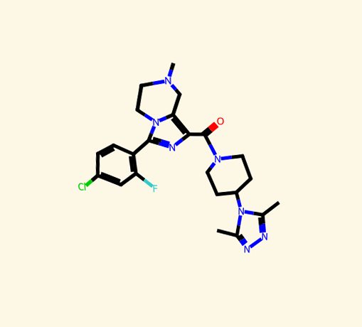 Cc1nnc(C)n1C1CCN(C(=O)c2nc(-c3ccc(Cl)cc3F)n3c2CN(C)CC3)CC1